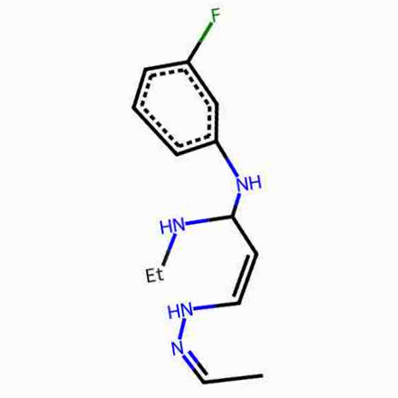 C/C=N\N/C=C\C(NCC)Nc1cccc(F)c1